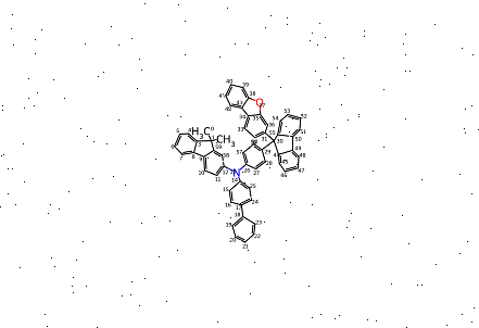 CC1(C)c2ccccc2-c2ccc(N(c3ccc(-c4ccccc4)cc3)c3ccc(C4(c5ccc6c(c5)oc5ccccc56)c5ccccc5-c5ccccc54)cc3)cc21